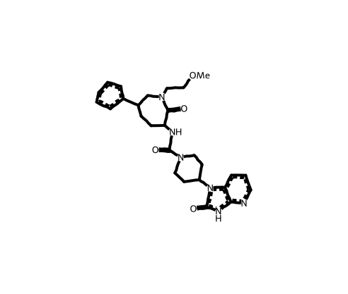 COCCN1CC(c2ccccc2)CCC(NC(=O)N2CCC(n3c(=O)[nH]c4ncccc43)CC2)C1=O